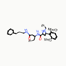 COc1cccc(OC)c1-c1cc(C(=O)NC(CC(=O)NCCCc2ccccc2)CC(C)C)nn1CC(C)C